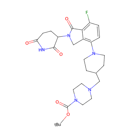 CC(C)(C)OC(=O)N1CCN(CC2CCN(c3ccc(F)c4c3CN(C3CCC(=O)NC3=O)C4=O)CC2)CC1